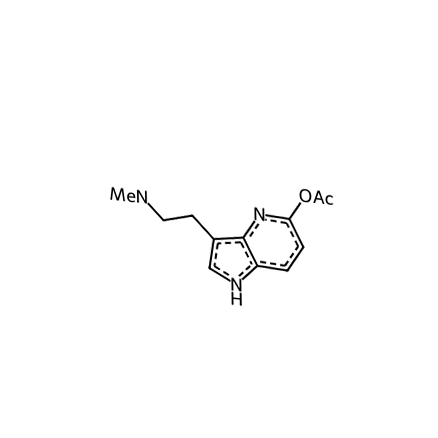 CNCCc1c[nH]c2ccc(OC(C)=O)nc12